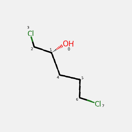 O[C@@H](CCl)CCCCl